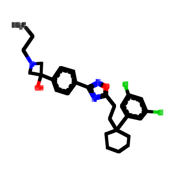 O=C(O)CCN1CC(O)(c2ccc(-c3noc(CCC4(c5cc(Cl)cc(Cl)c5)CCCCC4)n3)cc2)C1